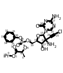 CC(C)OC(=O)[C@H](C)O[P@](=O)(OC[C@H]1O[C@@H](n2cnc(N)nc2=O)C(N)(C#CCl)[C@H]1O)Oc1ccccc1